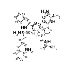 C[C@@H](NC(=O)[C@@H]1CCCN1C(=O)[C@H](CCCNC(=N)N)NC(=O)[C@H](Cc1ccccc1)NC(=O)[C@@H](N)CCC(CN)Cc1ccccc1)C(N)=O